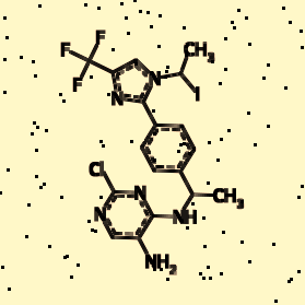 CC(Nc1nc(Cl)ncc1N)c1ccc(-c2nc(C(F)(F)F)cn2C(C)I)cc1